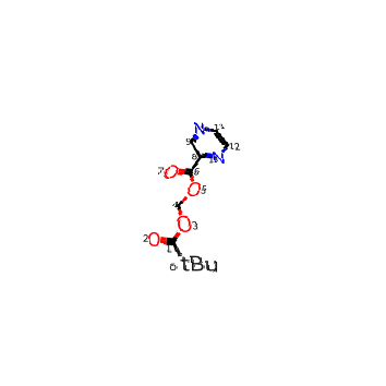 CC(C)(C)C(=O)OCOC(=O)c1cnccn1